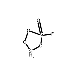 O=P1(F)OO[SiH2]O1